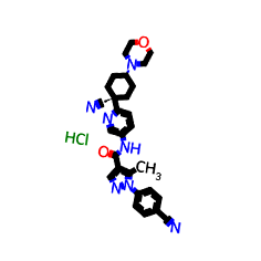 Cc1c(C(=O)Nc2ccc([C@]3(C#N)CC[C@@H](N4CCOCC4)CC3)nc2)cnn1-c1ccc(C#N)cc1.Cl